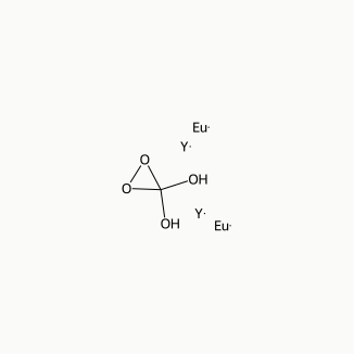 OC1(O)OO1.[Eu].[Eu].[Y].[Y]